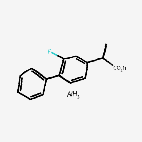 CC(C(=O)O)c1ccc(-c2ccccc2)c(F)c1.[AlH3]